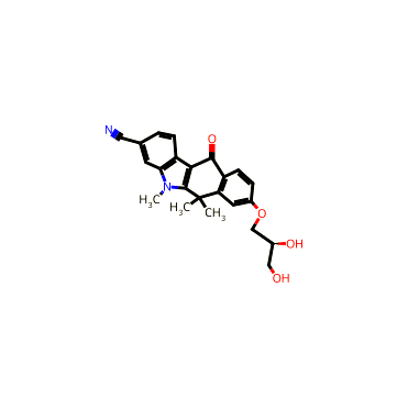 Cn1c2c(c3ccc(C#N)cc31)C(=O)c1ccc(OC[C@@H](O)CO)cc1C2(C)C